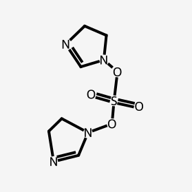 O=S(=O)(ON1C=NCC1)ON1C=NCC1